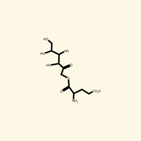 NC(CCC(=O)O)C(=O)OCC(=O)C(O)C(O)C(O)CO